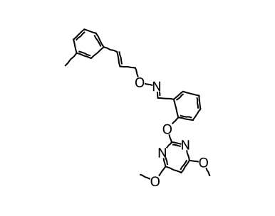 COc1cc(OC)nc(Oc2ccccc2C=NOCC=Cc2cccc(C)c2)n1